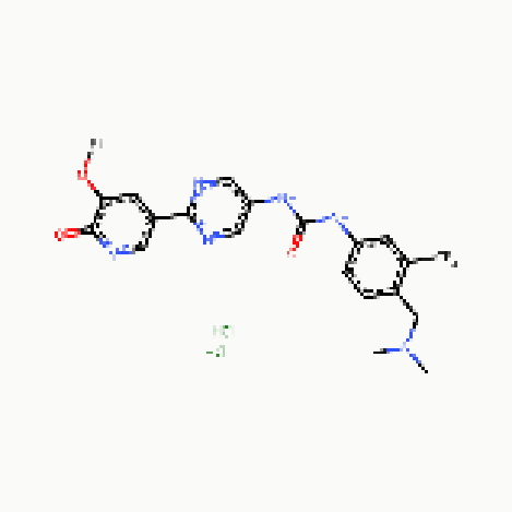 CCOc1cc(-c2ncc(NC(=O)Nc3ccc(CN(C)C)c(C(F)(F)F)c3)cn2)c[nH]c1=O.Cl.Cl